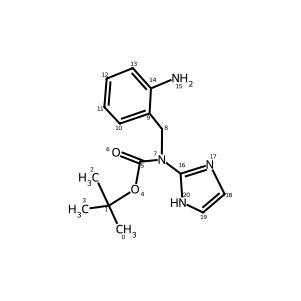 CC(C)(C)OC(=O)N(Cc1ccccc1N)c1ncc[nH]1